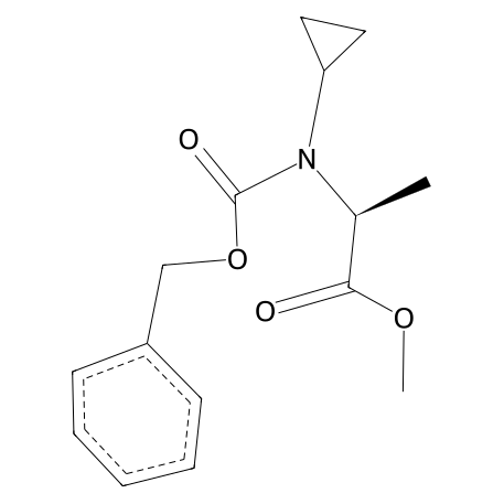 COC(=O)[C@H](C)N(C(=O)OCc1ccccc1)C1CC1